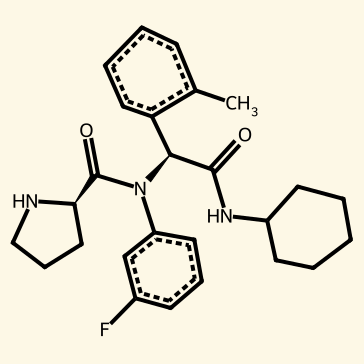 Cc1ccccc1[C@@H](C(=O)NC1CCCCC1)N(C(=O)[C@H]1CCCN1)c1cccc(F)c1